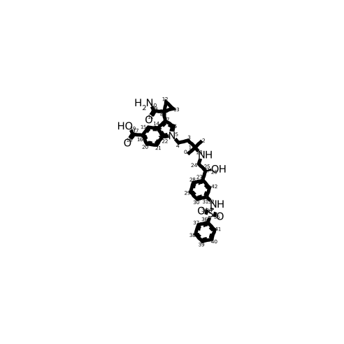 CC(C)(CCn1cc(C2(C(N)=O)CC2)c2cc(C(=O)O)ccc21)NC[C@@H](O)c1cccc(NS(=O)(=O)c2ccccc2)c1